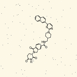 O=C1CCC(N2Cc3cc(C(=O)NCC4CCN(c5nccc(-c6ccc7ccccc7c6)n5)CC4)ccc3C2=O)C(=O)N1